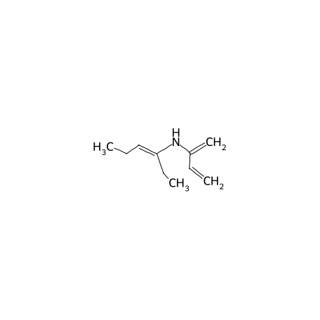 C=CC(=C)N/C(=C/CC)CC